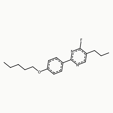 CCCCCOc1ccc(-c2ncc(CCC)c(F)n2)cc1